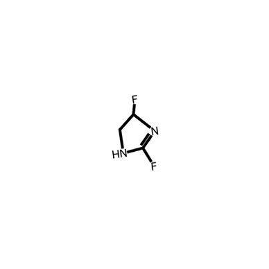 FC1=NC(F)CN1